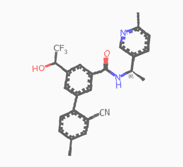 Cc1ccc(-c2cc(C(=O)N[C@H](C)c3ccc(C)nc3)cc(C(O)C(F)(F)F)c2)c(C#N)c1